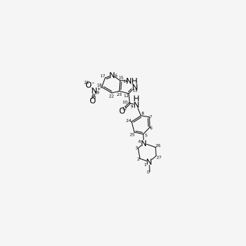 CN1CCN(c2ccc(NC(=O)c3n[nH]c4ncc([N+](=O)[O-])cc34)cc2)CC1